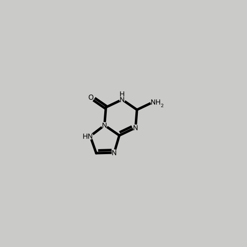 NC1N=C2N=CNN2C(=O)N1